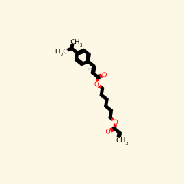 C=CC(=O)OCCCCCCOC(=O)/C=C/c1ccc(C(C)C)cc1